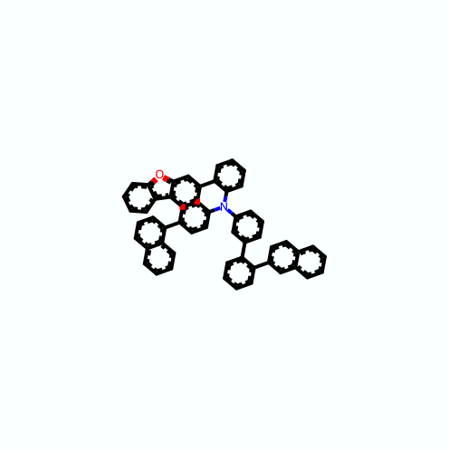 c1cc(-c2ccccc2-c2ccc3ccccc3c2)cc(N(c2ccc(-c3cccc4ccccc34)cc2)c2ccccc2-c2ccc3c(c2)oc2ccccc23)c1